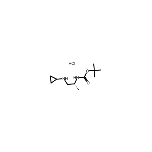 C[C@H](CNC1CC1)NC(=O)OC(C)(C)C.Cl